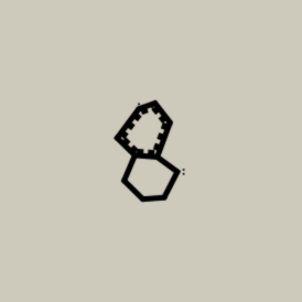 [C]1CCCc2c[c]ccc21